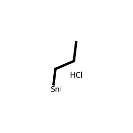 CC[CH2][Sn].Cl